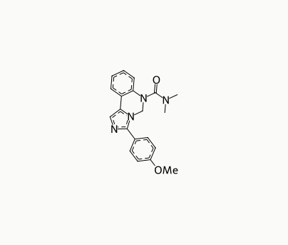 COc1ccc(-c2ncc3n2CN(C(=O)N(C)C)c2ccccc2-3)cc1